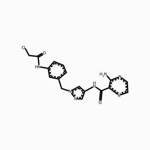 Nc1nccnc1C(=O)Nc1cnn(Cc2cccc(NC(=O)CCl)c2)c1